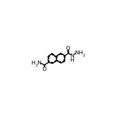 NNC(=O)c1ccc2cc(C(N)=O)ccc2c1